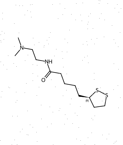 CN(C)CCNC(=O)CCCC[C@@H]1CCSS1